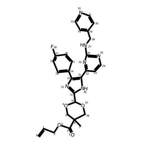 C=CCOC(=O)C1(C)COC(c2nc(-c3ccc(F)cc3)c(-c3ccnc(NCc4ccncc4)n3)[nH]2)OC1